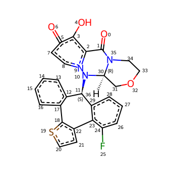 O=C1c2c(O)c(=O)ccn2N([C@@H]2c3ccccc3-c3sccc3-c3c(F)cccc32)[C@@H]2COCCN12